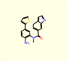 CN(C(=O)C1=CCC2=CC=NC2=C1)c1cc(-c2cccs2)ccc1N